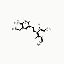 C\C=C/C(F)=C(C=CC1=CC(CN)=C(N)NC1)\C(F)=C\N